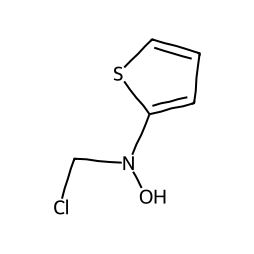 ON(CCl)c1cccs1